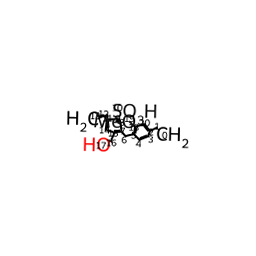 C=Cc1ccc(Cc2cc(S(=O)(=O)O)c(C=C)cc2CO)c(OC)c1